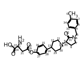 Cc1ccc(CN2CC[C@@H](N3CCC(c4ccc(OC(=O)C[C@H](N)C(=O)O)cc4)CC3)C2=O)cc1